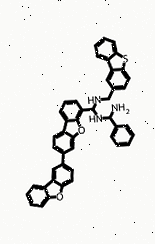 NC(NC(NCc1ccc2sc3ccccc3c2c1)c1cccc2c1oc1cc(-c3ccc4oc5ccccc5c4c3)ccc12)c1ccccc1